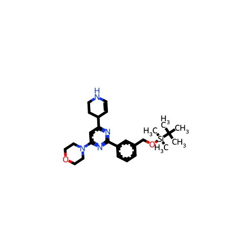 CC(C)(C)[Si](C)(C)OCc1cccc(-c2nc(C3C=CNCC3)cc(N3CCOCC3)n2)c1